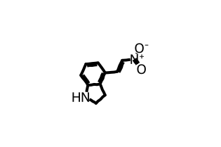 O=[N+]([O-])/C=C/c1cccc2c1CCN2